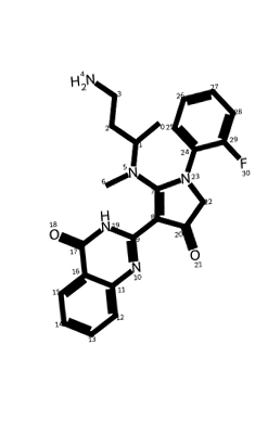 CC(CCN)N(C)C1=C(c2nc3ccccc3c(=O)[nH]2)C(=O)CN1c1ccccc1F